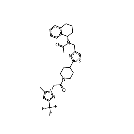 CC(=O)N(Cc1csc(C2CCN(C(=O)Cn3nc(C(F)(F)F)cc3C)CC2)n1)[C@@H]1CCCc2ccccc21